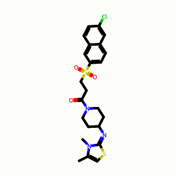 Cc1csc(=NC2CCN(C(=O)CCS(=O)(=O)c3ccc4cc(Cl)ccc4c3)CC2)n1C